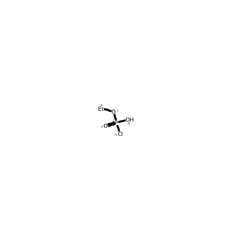 CCOP(=O)(O)Cl